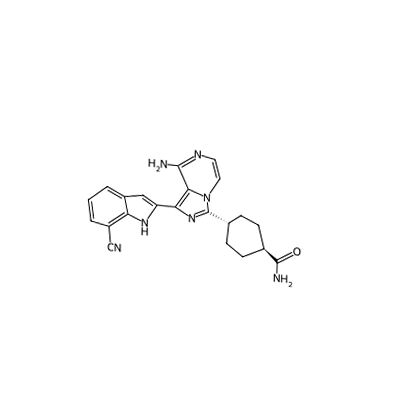 N#Cc1cccc2cc(-c3nc([C@H]4CC[C@H](C(N)=O)CC4)n4ccnc(N)c34)[nH]c12